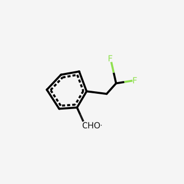 O=[C]c1ccccc1CC(F)F